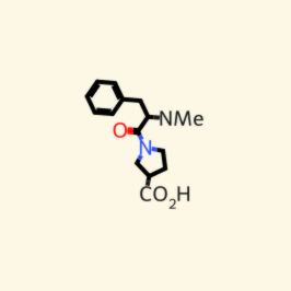 CNC(Cc1ccccc1)C(=O)N1CCC(C(=O)O)C1